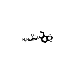 CCc1c(OC[C@H](O)CN)ccc2c1OCO2